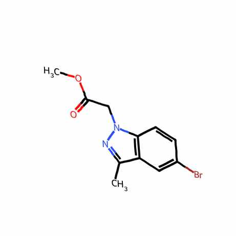 COC(=O)Cn1nc(C)c2cc(Br)ccc21